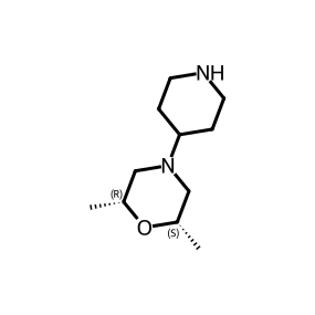 C[C@@H]1CN(C2CCNCC2)C[C@H](C)O1